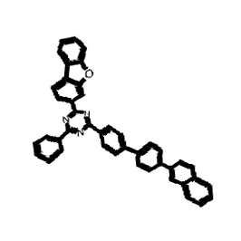 c1ccc(-c2nc(-c3ccc(-c4ccc(-c5ccc6ccccc6c5)cc4)cc3)nc(-c3ccc4c(c3)oc3ccccc34)n2)cc1